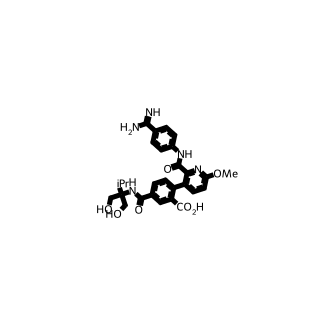 COc1ccc(-c2ccc(C(=O)NC(CO)(CO)C(C)C)cc2C(=O)O)c(C(=O)Nc2ccc(C(=N)N)cc2)n1